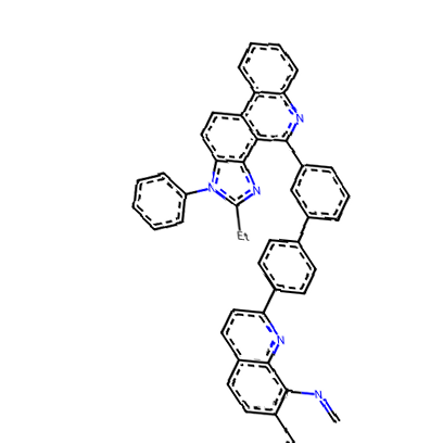 C=Nc1c(/C=C\C)ccc2ccc(-c3ccc(-c4cccc(-c5nc6ccccc6c6ccc7c(nc(CC)n7-c7ccccc7)c56)c4)cc3)nc12